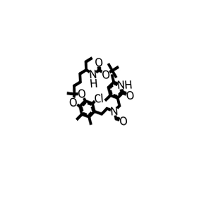 CCC(CCCC1(C)Oc2c(C)c(C)c(CCN(C=O)Cc3c(C)cc(C)[nH]c3=O)c(Cl)c2O1)NC(=O)OC(C)(C)C